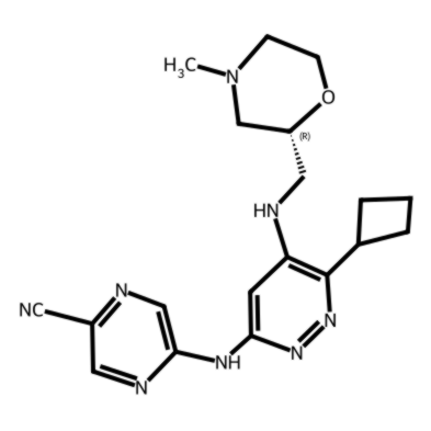 CN1CCO[C@H](CNc2cc(Nc3cnc(C#N)cn3)nnc2C2CCC2)C1